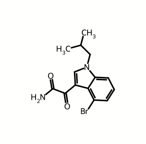 CC(C)Cn1cc(C(=O)C(N)=O)c2c(Br)cccc21